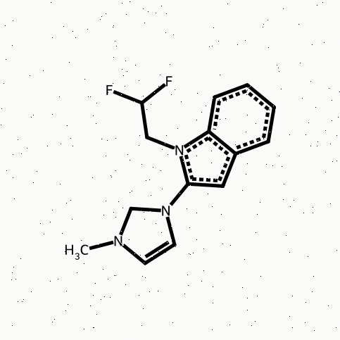 CN1C=CN(c2cc3ccccc3n2CC(F)F)C1